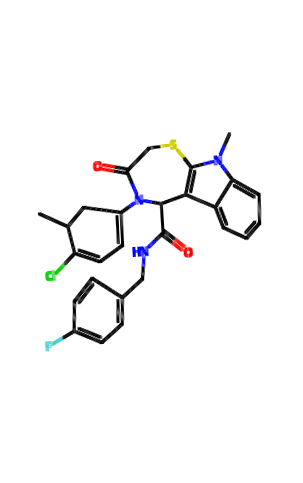 CC1CC(N2C(=O)CSc3c(c4ccccc4n3C)C2C(=O)NCc2ccc(F)cc2)=CC=C1Cl